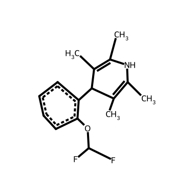 CC1=C(C)C(c2ccccc2OC(F)F)C(C)=C(C)N1